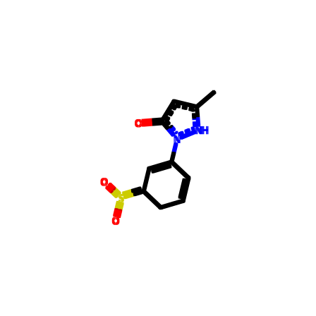 Cc1cc(=O)n(C2=CC(=S(=O)=O)CC=C2)[nH]1